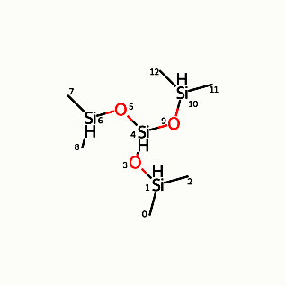 C[SiH](C)O[SiH](O[SiH](C)C)O[SiH](C)C